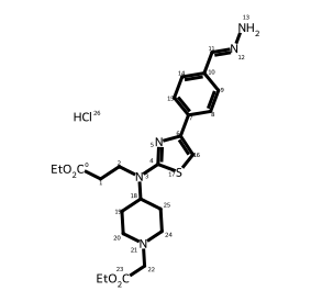 CCOC(=O)CCN(c1nc(-c2ccc(C=NN)cc2)cs1)C1CCN(CC(=O)OCC)CC1.Cl